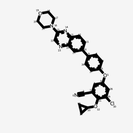 N#Cc1cc(Oc2ccc(-c3ccc4nc(N5CCOCC5)cnc4c3)cc2)cc(Cl)c1OC1CC1